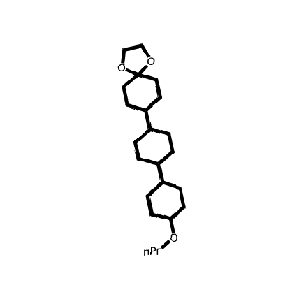 CCCOC1CCC(C2CCC(C3CCC4(CC3)OCCO4)CC2)CC1